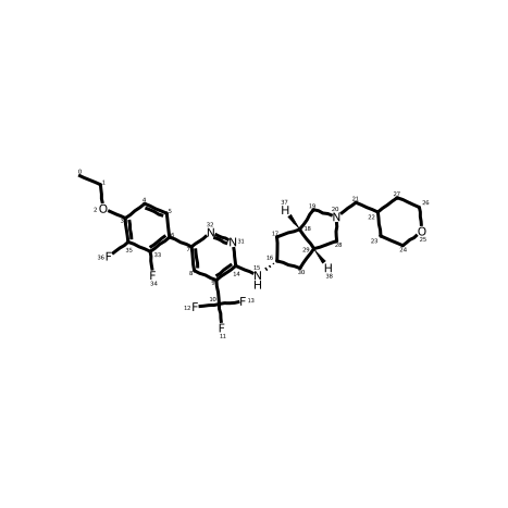 CCOc1ccc(-c2cc(C(F)(F)F)c(N[C@@H]3C[C@@H]4CN(CC5CCOCC5)C[C@@H]4C3)nn2)c(F)c1F